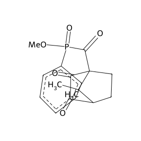 COP(=O)(C(=O)C12CCC(C(=O)C1=O)C2(C)C)c1ccccc1